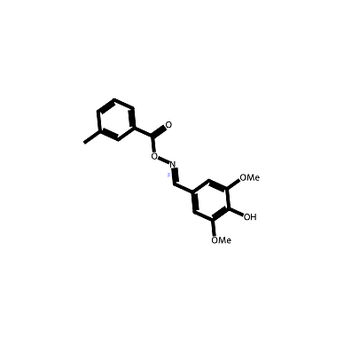 COc1cc(/C=N/OC(=O)c2cccc(C)c2)cc(OC)c1O